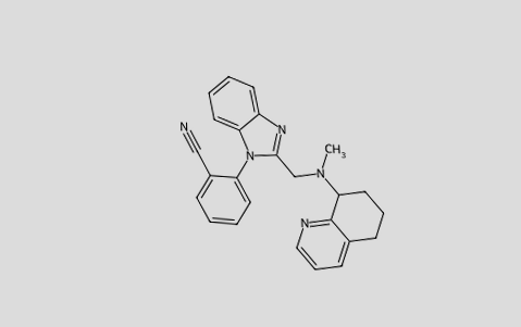 CN(Cc1nc2ccccc2n1-c1ccccc1C#N)C1CCCc2cccnc21